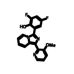 COc1cccnc1-c1nc(-c2cc(F)cc(F)c2O)n2ccccc12